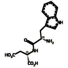 N[C@@H](Cc1c[nH]c2ccccc12)C(=O)N[C@@H](CC(=O)O)C(=O)O